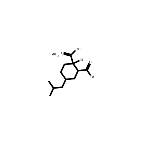 CC(C)CC1CCC(O)(C(=O)O)C(C(=O)O)C1.[AlH3]